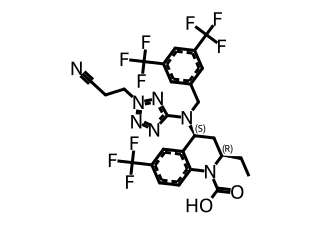 CC[C@@H]1C[C@H](N(Cc2cc(C(F)(F)F)cc(C(F)(F)F)c2)c2nnn(CCC#N)n2)c2cc(C(F)(F)F)ccc2N1C(=O)O